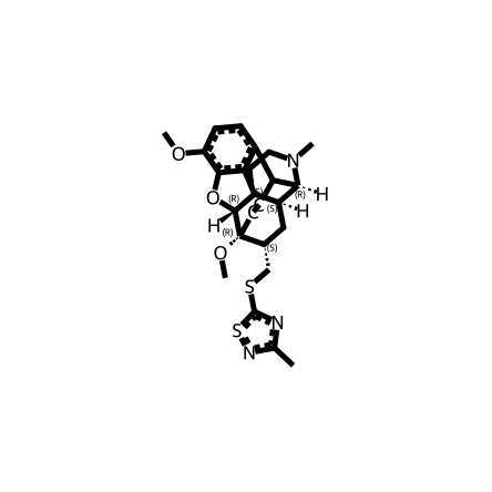 COc1ccc2c3c1O[C@H]1[C@@]4(OC)CCC2[C@@H]2[C@@H](C[C@@H]4CSc4nc(C)ns4)[C@@]31CCN2C